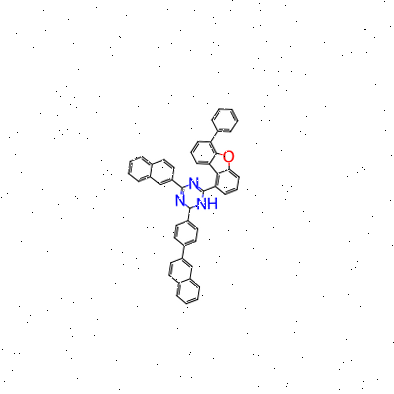 c1ccc(-c2cccc3c2oc2cccc(C4=NC(c5ccc6ccccc6c5)=NC(c5ccc(-c6ccc7ccccc7c6)cc5)N4)c23)cc1